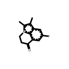 Cc1c(C)n2c3c(cc(F)cc13)C(=O)CC2